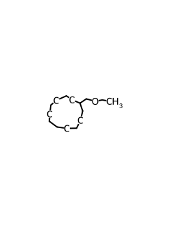 CCOCC1CCCCCCCCCCC1